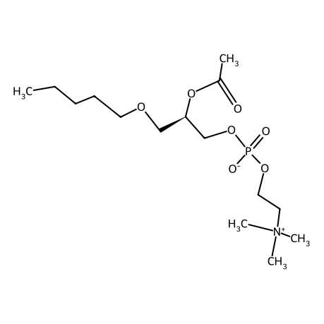 CCCCCOC[C@H](COP(=O)([O-])OCC[N+](C)(C)C)OC(C)=O